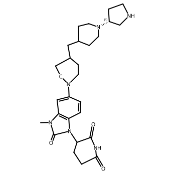 Cn1c(=O)n(C2CCC(=O)NC2=O)c2ccc(N3CCC(CC4CCN([C@@H]5CCNC5)CC4)CC3)cc21